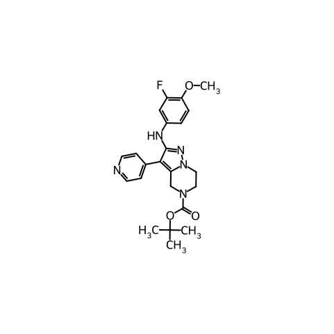 COc1ccc(Nc2nn3c(c2-c2ccncc2)CN(C(=O)OC(C)(C)C)CC3)cc1F